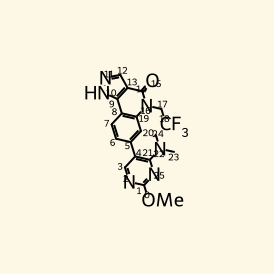 COc1ncc(-c2ccc3c4[nH]ncc4c(=O)n(CC(F)(F)F)c3c2)c(N(C)C)n1